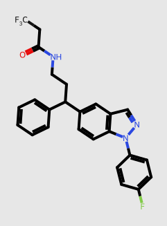 O=C(CC(F)(F)F)NCCC(c1ccccc1)c1ccc2c(cnn2-c2ccc(F)cc2)c1